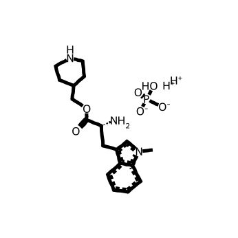 Cn1cc(C[C@@H](N)C(=O)OCC2CCNCC2)c2ccccc21.O=P([O-])([O-])O.[H+].[H+]